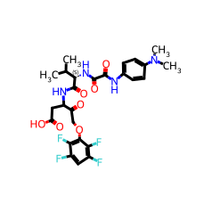 CC(C)[C@H](NC(=O)C(=O)Nc1ccc(N(C)C)cc1)C(=O)NC(CC(=O)O)C(=O)COc1c(F)c(F)cc(F)c1F